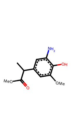 COC(=O)C(C)c1cc(N)c(O)c(OC)c1